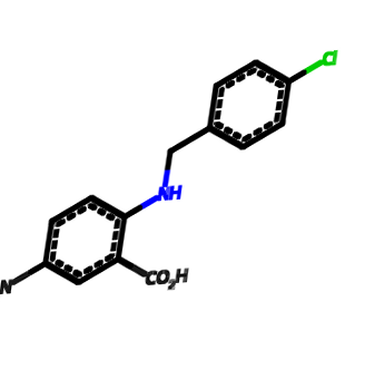 O=C(O)c1cc([N+](=O)[O-])ccc1NCc1ccc(Cl)cc1